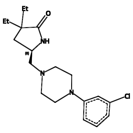 CCC1(CC)C[C@H](CN2CCN(c3cccc(Cl)c3)CC2)NC1=O